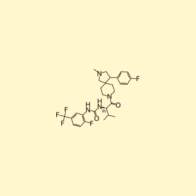 CC(C)[C@@H](NC(=O)Nc1cc(C(F)(F)F)ccc1F)C(=O)N1CCC2(CC1)CN(C)CC2c1ccc(F)cc1